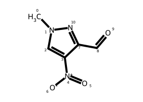 Cn1cc([N+](=O)[O-])c(C=O)n1